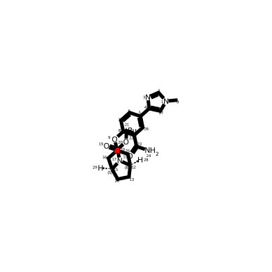 Cn1cnc(-c2ccc(OC3C[C@H]4CC[C@@H](C3)N4C(=O)OC(C)(C)C)c(C(N)=O)c2)c1